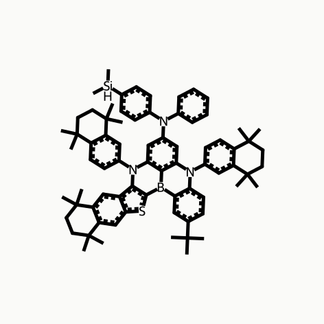 C[SiH](C)c1ccc(N(c2ccccc2)c2cc3c4c(c2)N(c2ccc5c(c2)C(C)(C)CCC5(C)C)c2c(sc5cc6c(cc25)C(C)(C)CCC6(C)C)B4c2cc(C(C)(C)C)ccc2N3c2ccc3c(c2)C(C)(C)CCC3(C)C)cc1